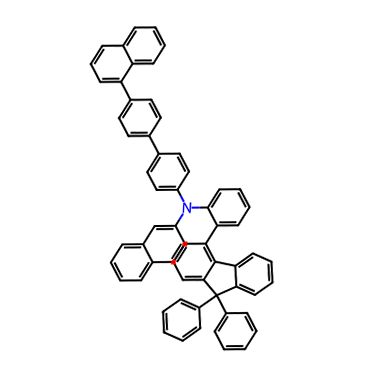 c1ccc(C2(c3ccccc3)c3ccccc3-c3c(-c4ccccc4N(c4ccc(-c5ccc(-c6cccc7ccccc67)cc5)cc4)c4ccc5ccccc5c4)cccc32)cc1